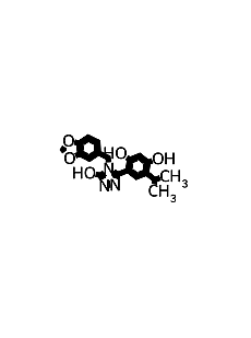 CC(C)c1cc(-c2nnc(O)n2Cc2ccc3c(c2)OCO3)c(O)cc1O